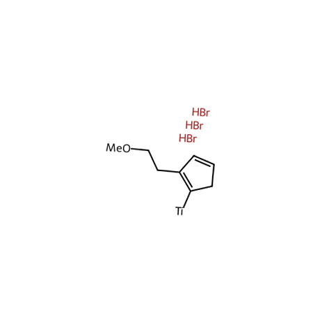 Br.Br.Br.COCCC1=[C]([Ti])CC=C1